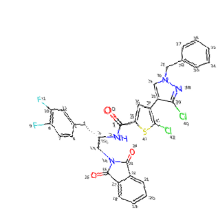 O=C(N[C@@H](Cc1ccc(F)c(F)c1)CN1C(=O)c2ccccc2C1=O)c1cc(-c2cn(Cc3ccccc3)nc2Cl)c(Cl)s1